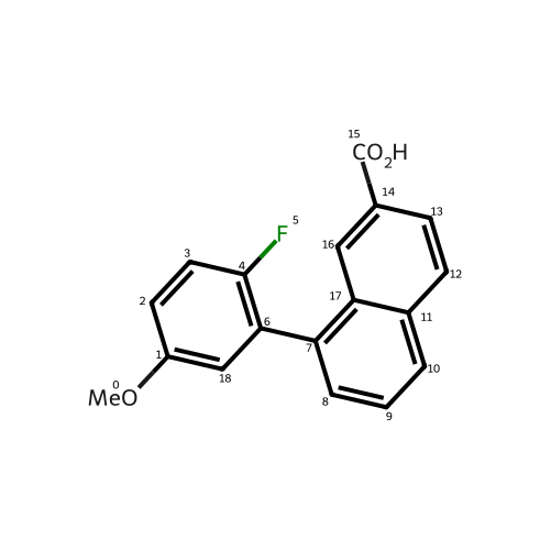 COc1ccc(F)c(-c2cccc3ccc(C(=O)O)cc23)c1